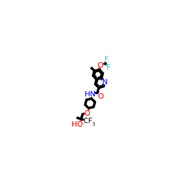 Cc1cc2cc(C(=O)N[C@H]3CC[C@H](OCC(C)(O)C(F)(F)F)CC3)cnc2cc1OC(F)F